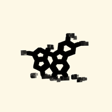 CCC1(C2c3cc(C)c(C(C)(C)C)cc3-c3cc(C(C)(C)C)c(C)cc32)CC(C(C)C)C2=C1C=C(C(C)(C)C)C2.[Cl-].[Cl-].[Zr+2]